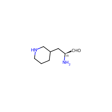 N[C@H](C=O)CC1CCCNC1